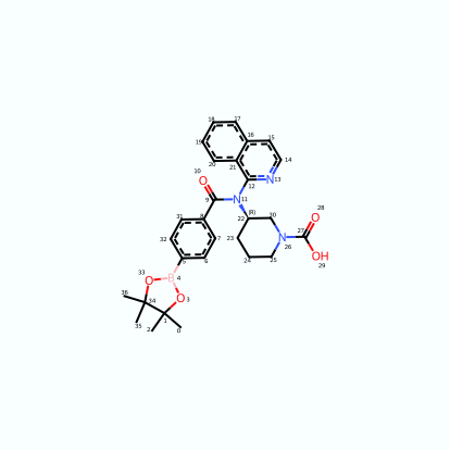 CC1(C)OB(c2ccc(C(=O)N(c3nccc4ccccc34)[C@@H]3CCCN(C(=O)O)C3)cc2)OC1(C)C